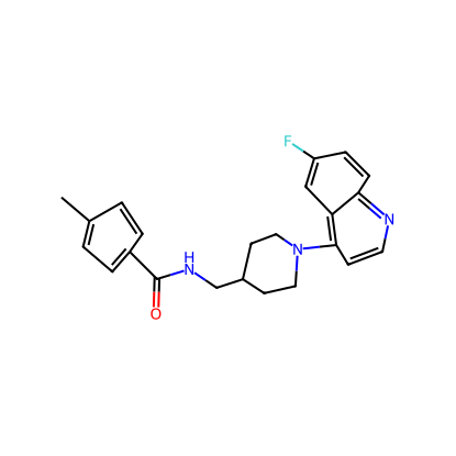 Cc1ccc(C(=O)NCC2CCN(c3ccnc4ccc(F)cc34)CC2)cc1